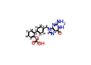 Nc1nc2c(ncn2Cc2ccc(-c3ccccc3OC(=O)O)cc2)c(=O)[nH]1